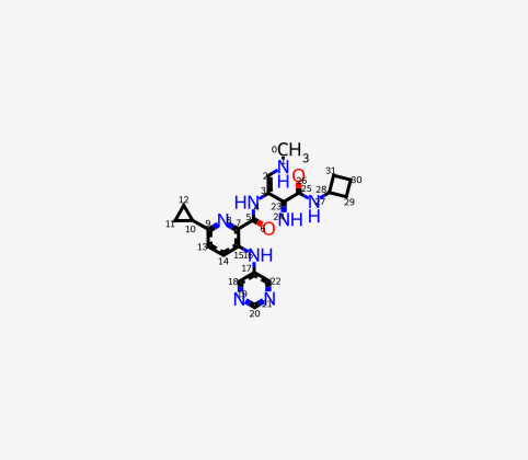 CN/C=C(/NC(=O)c1nc(C2CC2)ccc1Nc1cncnc1)C(=N)C(=O)NC1CCC1